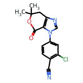 CC1(C)Cc2ncn(-c3ccc(C#N)c(Cl)c3)c2C(=O)O1